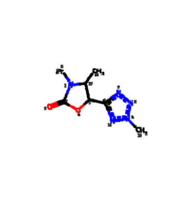 CC(C)N1C(=O)OC(c2nnn(C)n2)C1C